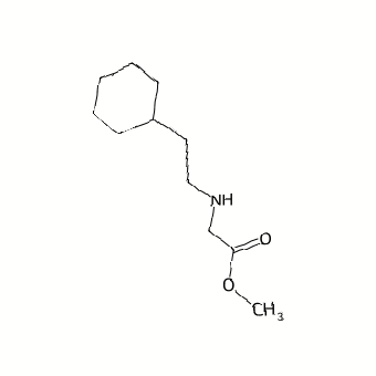 COC(=O)CNCCC1CCCCC1